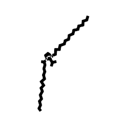 CCCCCCCCCCCCCCCCn1cc[n+](C(C)CCCCCCCCCCCCCCC)c1C(C)C